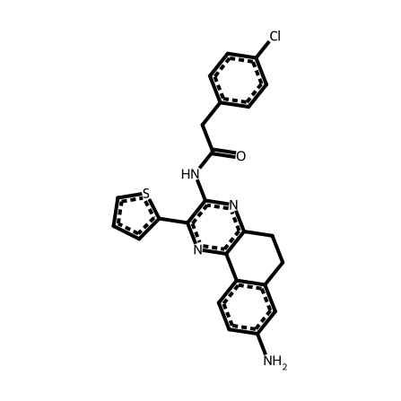 Nc1ccc2c(c1)CCc1nc(NC(=O)Cc3ccc(Cl)cc3)c(-c3cccs3)nc1-2